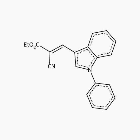 CCOC(=O)/C(C#N)=C/c1cn(-c2ccccc2)c2ccccc12